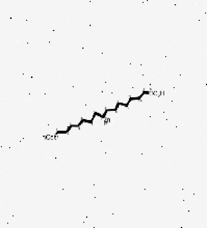 CCCCCCCCC=CCCCCCCCCCCCCCC(=O)O.[Zn]